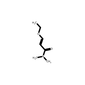 CCO/C=C/C(=O)N(C)C